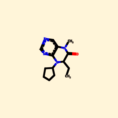 CCC1C(=O)N(C)c2cn[c]nc2N1C1CCCC1